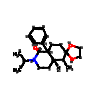 CC(C)N1CC[C@H]2[C@H](C)C3(CCC2(c2ccccc2)C1=O)OCCO3